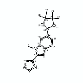 Cn1c(-c2nccs2)cc2ccc(B3OC(C)(C)C(C)(C)O3)cc21